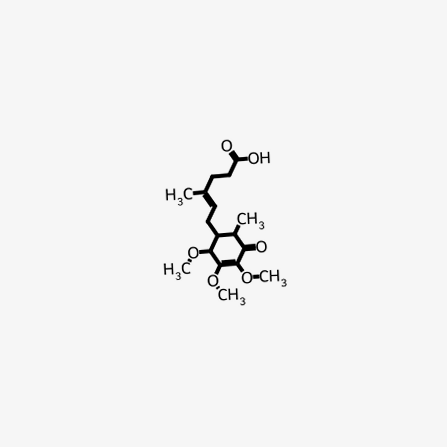 COC1=C(OC)C(OC)C(C/C=C(\C)CCC(=O)O)C(C)C1=O